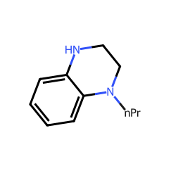 [CH2]CCN1CCNc2ccccc21